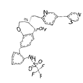 O=S(=O)(Nc1ccccc1-c1ccc2c(c1)OC[C@H](Cc1ccc(-c3cncs3)cn1)[C@H]2O)C(F)(F)F